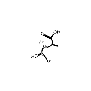 O=C(O)C(F)F.[Li+].[O-]B(O)O